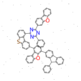 c1ccc(-c2nc(-c3ccc4c(c3)oc3ccccc34)nc(-c3cccc4sc5ccc(-c6ccc(-c7ccc8c(c7)C(c7ccccc7)c7ccccc7-8)c7oc8ccccc8c67)cc5c34)n2)cc1